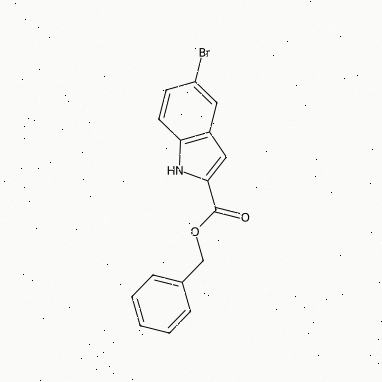 O=C(OCc1ccccc1)c1cc2cc(Br)ccc2[nH]1